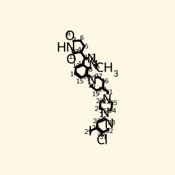 Cn1nc(C2CCC(=O)NC2=O)c2cccc(N3CCC(CN4CCN(c5cc(I)c(Cl)cn5)CC4)CC3)c21